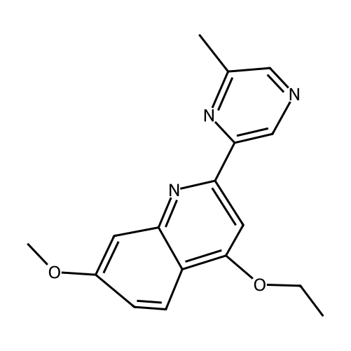 CCOc1cc(-c2cncc(C)n2)nc2cc(OC)ccc12